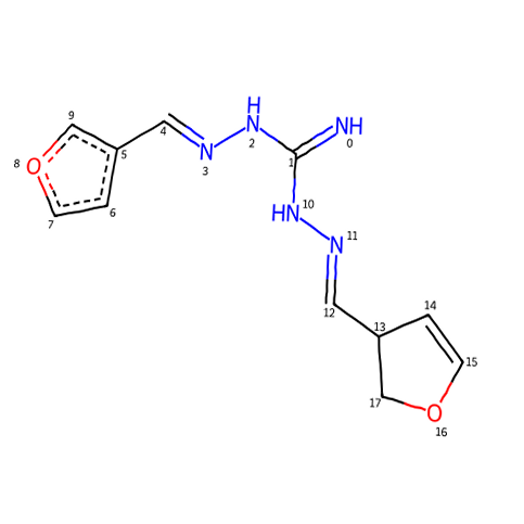 N=C(N/N=C/c1ccoc1)N/N=C/C1C=COC1